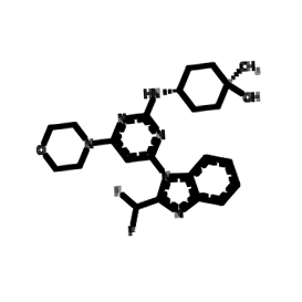 C[C@]1(O)CC[C@H](Nc2nc(N3CCOCC3)cc(-n3c(C(F)F)nc4ccccc43)n2)CC1